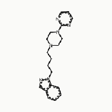 c1cnc(N2CCN(CCCCn3ncc4ccccc43)CC2)nc1